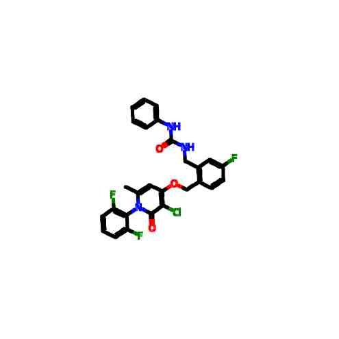 Cc1cc(OCc2ccc(F)cc2CNC(=O)Nc2ccccc2)c(Cl)c(=O)n1-c1c(F)cccc1F